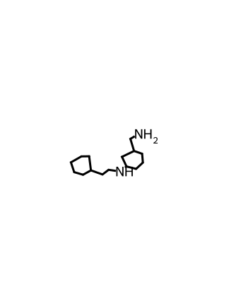 NCC1CCCC(NCCC2CCCCC2)C1